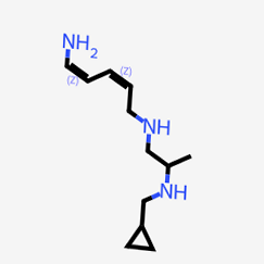 CC(CNC/C=C\C=C/N)NCC1CC1